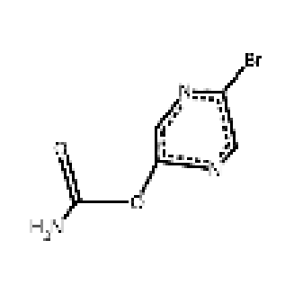 NC(=O)Oc1cnc(Br)cn1